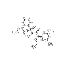 CCON(C(=O)N(C)S(=O)(=O)c1ccccc1C(=O)OC)c1nc(C)cc(C)n1